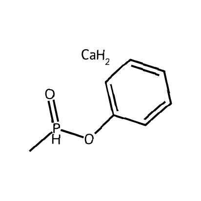 C[PH](=O)Oc1ccccc1.[CaH2]